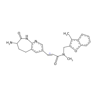 Cc1c(CN(C)C(=O)/C=C/c2cnc3c(c2)CCC(N)C(=O)N3)oc2ccccc12